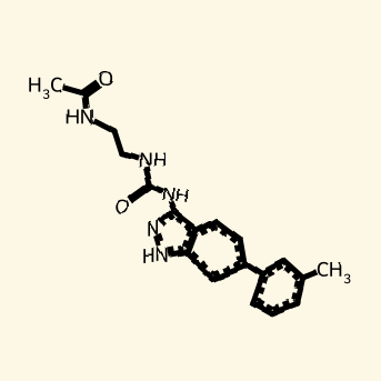 CC(=O)NCCNC(=O)Nc1n[nH]c2cc(-c3cccc(C)c3)ccc12